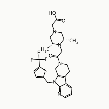 C[C@@H]1CN(CC(=O)O)C[C@H](C)N1CC(=O)N1CCc2c(n(Cc3ccc(C(F)(F)F)s3)c3ncccc23)C1